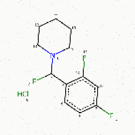 Cl.Fc1ccc(C(F)N2CCCCC2)c(F)c1